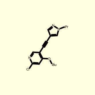 CCC(C)Oc1cc(Cl)ncc1C#Cc1cnn(C(C)C)c1